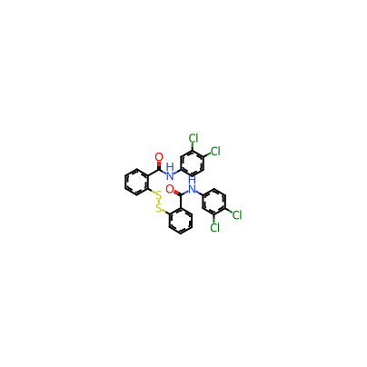 O=C(Nc1ccc(Cl)c(Cl)c1)c1ccccc1SSc1ccccc1C(=O)Nc1ccc(Cl)c(Cl)c1